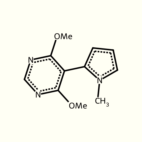 COc1ncnc(OC)c1-c1cccn1C